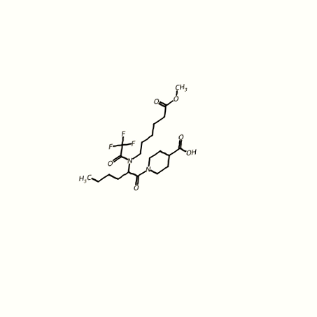 CCCCC(C(=O)N1CCC(C(=O)O)CC1)N(CCCCCC(=O)OC)C(=O)C(F)(F)F